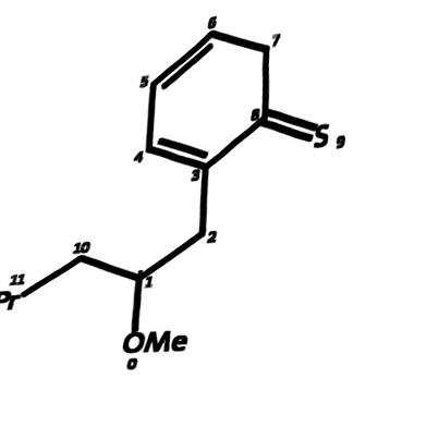 CO[C](CC1=CC=CCC1=S)CC(C)C